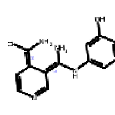 N/C(Nc1cccc(O)c1)=c1/cncc/c1=C(/N)Cl